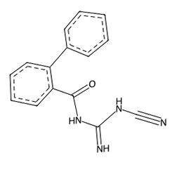 N#CNC(=N)NC(=O)c1ccccc1-c1ccccc1